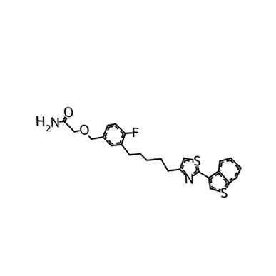 NC(=O)COCc1ccc(F)c(CCCCCc2csc(-c3csc4ccccc34)n2)c1